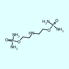 NP(N)(=O)OCCNCCOP(N)(N)=O